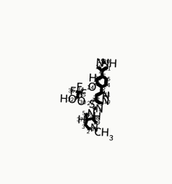 CN1CC[C@@H]2CN(c3nc4nnc(-c5ccc(-c6cn[nH]c6)cc5O)cc4s3)[C@@H]2C1.O=C(O)C(F)(F)F